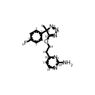 CC1(c2ccc(F)cc2)N=NN=C1OCCc1ccnc(N)n1